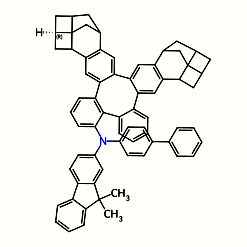 CC1(C)c2ccccc2-c2ccc(N(c3ccc(-c4ccccc4)cc3)c3cccc4c3-c3ccccc3-c3cc5c(cc3-c3cc6c(cc3-4)C3C[C@H]4CC7CC6CC734)C3CC4CC6CC5C46C3)cc21